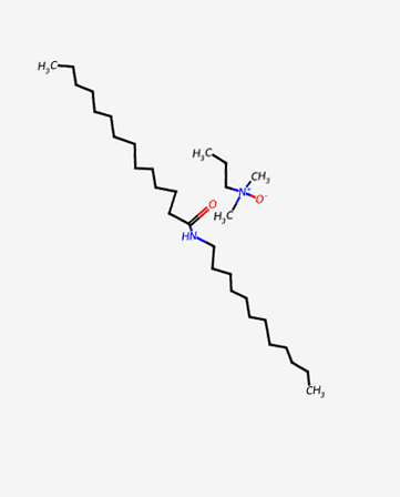 CCCCCCCCCCCCCC(=O)NCCCCCCCCCCCC.CCC[N+](C)(C)[O-]